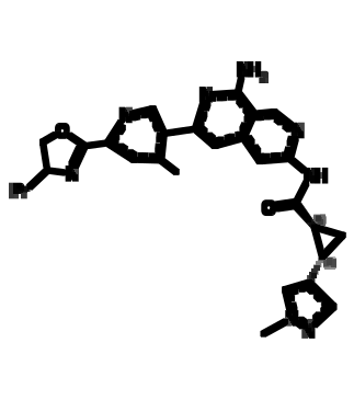 Cc1cc(C2=NC(C(C)C)CO2)ncc1-c1cc2cc(NC(=O)[C@H]3C[C@@H]3c3cnn(C)c3)ncc2c(N)n1